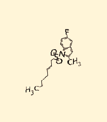 CCCCC=CCS(=O)(=O)n1c(C)cc2cc(F)ccc21